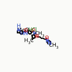 COc1cc(C(=O)N(C)c2ccc(C)cc2OCCCCCC(=O)N2CCN(C)CC2)ccc1NC(=O)c1ccc2cc[nH]c2c1.Cl